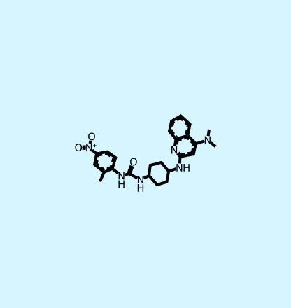 Cc1cc([N+](=O)[O-])ccc1NC(=O)NC1CCC(Nc2cc(N(C)C)c3ccccc3n2)CC1